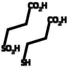 O=C(O)CCS.O=C(O)CCS(=O)(=O)O